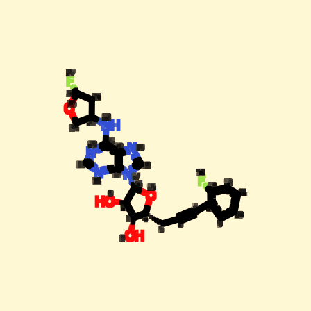 O[C@@H]1[C@H](O)[C@@H](CC#Cc2ccccc2F)O[C@H]1n1cnc2c(NC3COC(F)C3)ncnc21